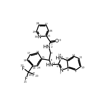 O=C(NCC(Nc1nc2ccccc2[nH]1)c1cccc(C(F)(F)F)c1)c1ccccn1